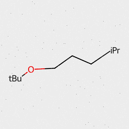 CC(C)CCCOC(C)(C)C